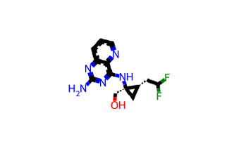 Nc1nc(N[C@]2(CO)C[C@H]2CC(F)F)c2ncccc2n1